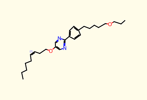 CCCCC/C=C\CCOc1cnc(-c2ccc(CCCCCOCCC)cc2)nc1